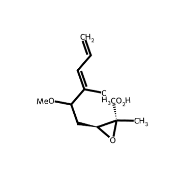 C=C/C=C(\C)C(C[C@@H]1O[C@@]1(C)C(=O)O)OC